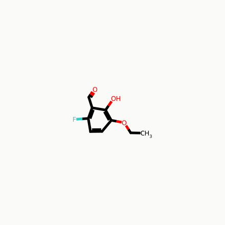 CCOc1ccc(F)c(C=O)c1O